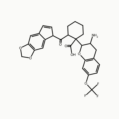 NC1Cc2ccc(OC(F)(F)F)cc2OC1C1(C(=O)O)CCCCC1C(=O)C1C=Cc2cc3c(cc21)OCO3